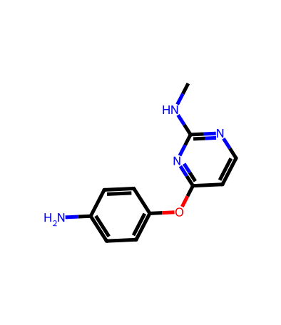 CNc1nccc(Oc2ccc(N)cc2)n1